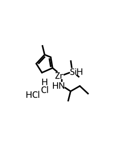 CCC(C)[NH][Zr]([C]1=CC(C)=CC1)[SiH](C)C.Cl.Cl